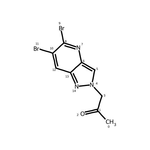 CC(=O)Cn1cc2nc(Br)c(Br)cc2n1